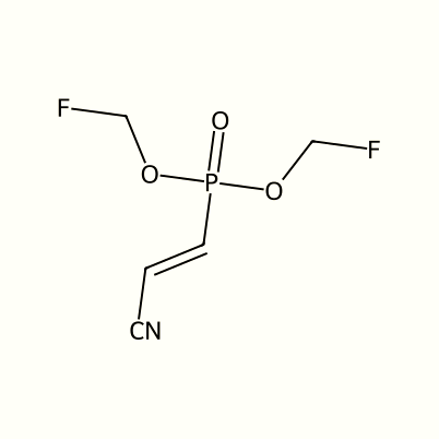 N#CC=CP(=O)(OCF)OCF